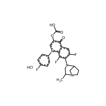 CC1CN(c2c(F)cc3c(=O)c(OC(=O)O)cn(-c4ccc(F)cc4)c3c2F)C2CCN1C2.Cl